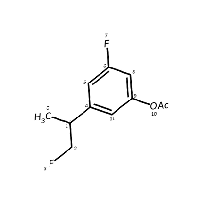 C[C](CF)c1cc(F)cc(OC(C)=O)c1